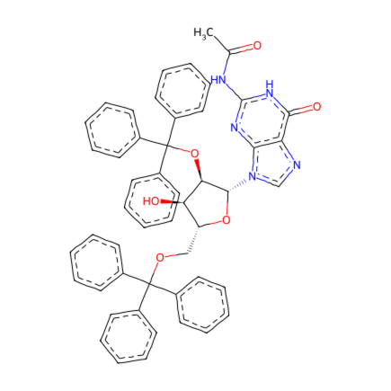 CC(=O)Nc1nc2c(ncn2[C@@H]2O[C@H](COC(c3ccccc3)(c3ccccc3)c3ccccc3)[C@@H](O)[C@H]2OC(c2ccccc2)(c2ccccc2)c2ccccc2)c(=O)[nH]1